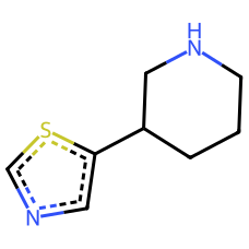 c1ncc(C2CCCNC2)s1